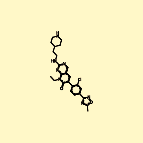 CCn1c(=O)c(-c2ccc(-c3noc(C)n3)cc2Cl)cc2cnc(NCCC3CCNCC3)nc21